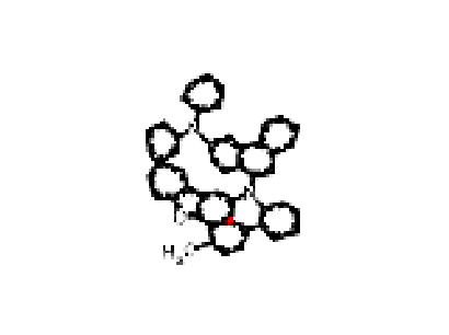 Cc1ccc(-c2ccccc2N(c2ccc3oc4ccccc4c3c2)c2cc3ccccc3c3cc(N(c4ccccc4)c4ccccc4)ccc23)cc1